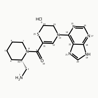 Cl.NC[C@@H]1CCCCN1C(=O)C1=CN(c2ncnc3[nH]cnc23)CCS1